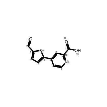 O=Cc1ccc(-c2ccnc(C(=O)O)c2)s1